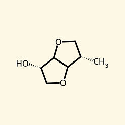 C[C@H]1COC2C1OC[C@@H]2O